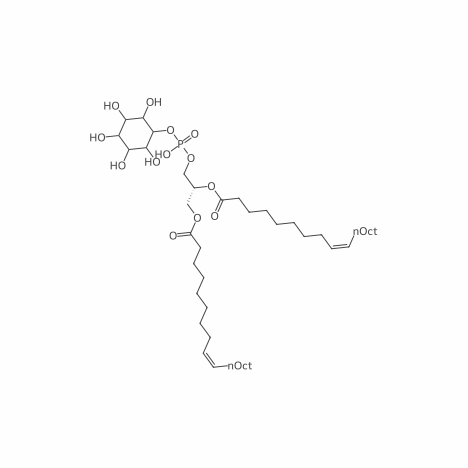 CCCCCCCC/C=C\CCCCCCCC(=O)OC[C@H](COP(=O)(O)OC1C(O)C(O)C(O)C(O)C1O)OC(=O)CCCCCCC/C=C\CCCCCCCC